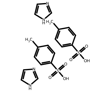 Cc1ccc(S(=O)(=O)O)cc1.Cc1ccc(S(=O)(=O)O)cc1.c1c[nH]cn1.c1c[nH]cn1